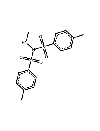 CNN(S(=O)(=O)c1ccc(C)cc1)S(=O)(=O)c1ccc(C)cc1